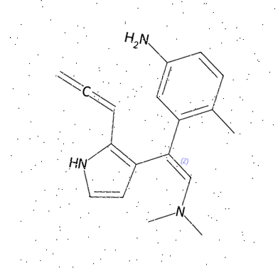 C=C=Cc1[nH]ccc1/C(=C\N(C)C)c1cc(N)ccc1C